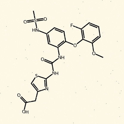 COc1cccc(F)c1Oc1ccc(NS(C)(=O)=O)cc1NC(=O)Nc1nc(CC(=O)O)cs1